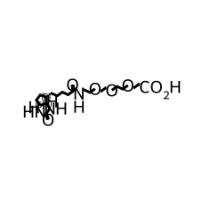 O=C(O)CCOCCOCCOCCNC(=O)CCCC[C@@H]1CC[C@@H]2NC(=O)N[C@H]12